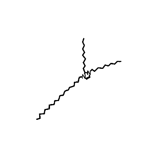 CCCCCCCCCCCCCCCCCCCN1C=CN(CCCCCCCCCC)C1CCCCCCCCCC